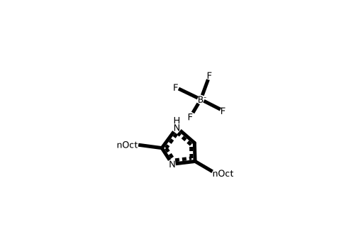 CCCCCCCCc1c[nH]c(CCCCCCCC)n1.F[B-](F)(F)F